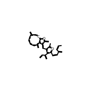 C=CC(=C)c1c(/C=C\C(=C)/C=C\C)oc(C)c1/C=c1\c(=C)oc2ccc(=C)ccccc(=C)c12